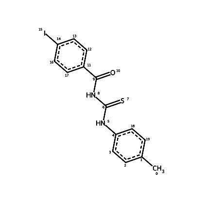 Cc1ccc(NC(=S)NC(=O)c2ccc(I)cc2)cc1